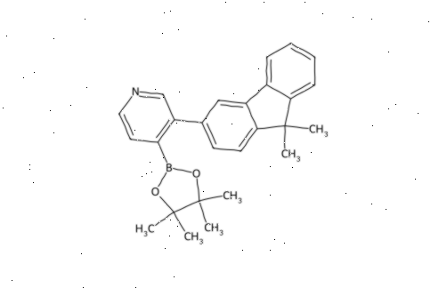 CC1(C)c2ccccc2-c2cc(-c3cnccc3B3OC(C)(C)C(C)(C)O3)ccc21